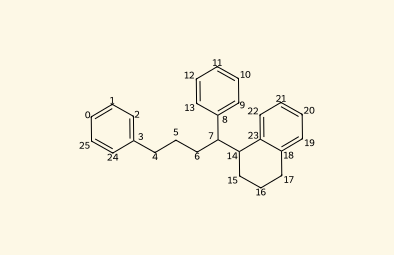 c1ccc(CCCC(c2ccccc2)C2CCCc3ccccc32)cc1